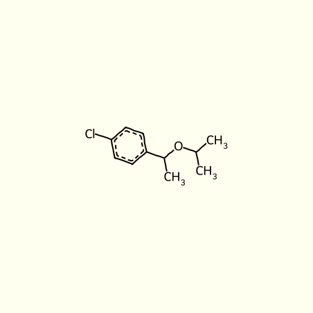 CC(C)OC(C)c1ccc(Cl)cc1